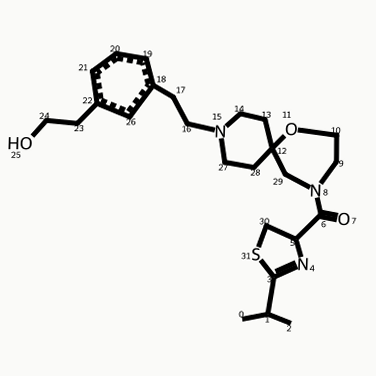 CC(C)C1=NC(C(=O)N2CCOC3(CCN(CCc4cccc(CCO)c4)CC3)C2)CS1